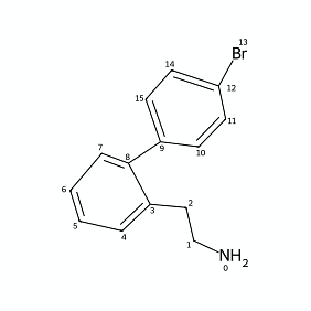 NCCc1ccccc1-c1ccc(Br)cc1